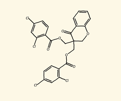 O=C(OCC1(COC(=O)c2ccc(Cl)cc2Cl)COc2ccccc2C1=O)c1ccc(Cl)cc1Cl